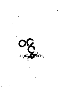 C1CCCCCCCCC1.C1CCCCCCCCC1.C1CCCCCCCCC1.COC(=O)c1ccc(C(=O)OC)cc1